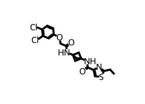 CCc1nc(C(=O)NC23CC(NC(=O)COc4ccc(Cl)c(Cl)c4)(C2)C3)cs1